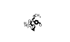 COCCN1C(=O)C(C)(C)C(=O)N(CC2CC2)c2cc(C=O)ccc21